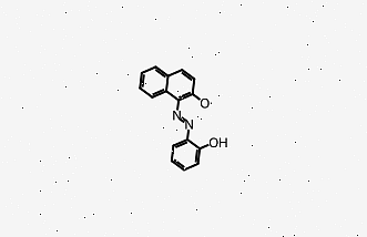 [O]c1ccc2ccccc2c1N=Nc1ccccc1O